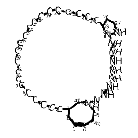 C1=CCC2CCCCCCCCCCCCCCCCCCCCCC3CCNN3NNNNNNNNN(CC1)C2